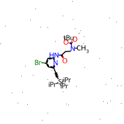 CC(C)[Si](C#Cc1cc(Br)cc(NC(=O)CCN(C)C(=O)OC(C)(C)C)n1)(C(C)C)C(C)C